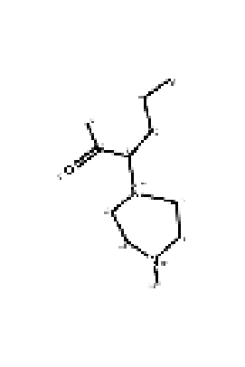 [CH2]CCC(C(C)=O)N1CCN(C)CC1